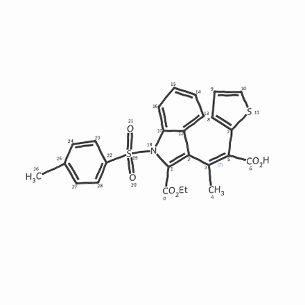 CCOC(=O)c1c(/C(C)=C(/C(=O)O)c2cccs2)c2ccccc2n1S(=O)(=O)c1ccc(C)cc1